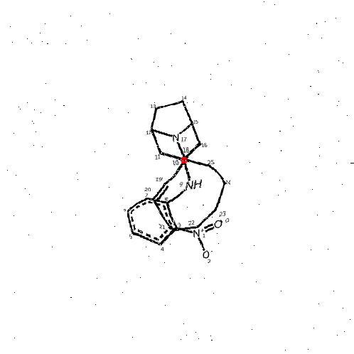 O=[N+]([O-])c1ccccc1NC1CC2CCC(C1)N2C1/C=C\CCCCC1